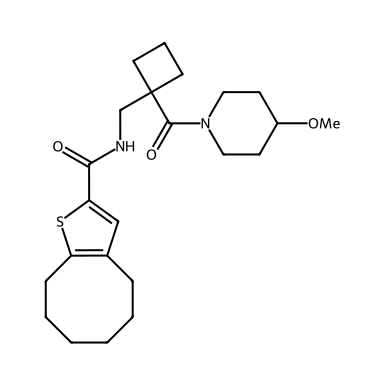 COC1CCN(C(=O)C2(CNC(=O)c3cc4c(s3)CCCCCC4)CCC2)CC1